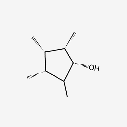 CC1[C@@H](O)[C@@H](C)[C@@H](C)[C@H]1C